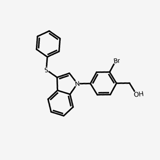 OCc1ccc(-n2cc(Sc3ccccc3)c3ccccc32)cc1Br